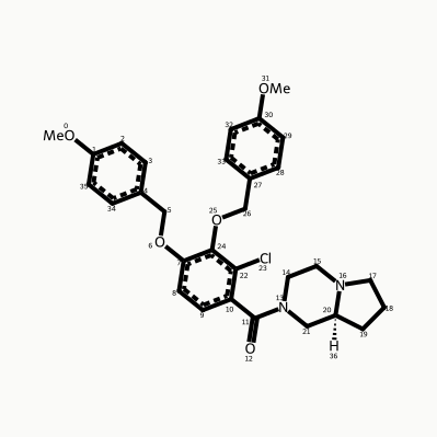 COc1ccc(COc2ccc(C(=O)N3CCN4CCC[C@H]4C3)c(Cl)c2OCc2ccc(OC)cc2)cc1